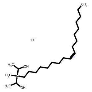 CCCCCCCC/C=C\CCCCCCCC[N+](C)(C(C)O)C(C)O.[Cl-]